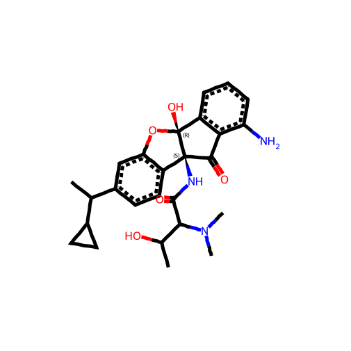 CC(O)C(C(=O)N[C@]12C(=O)c3c(N)cccc3[C@@]1(O)Oc1cc(C(C)C3CC3)ccc12)N(C)C